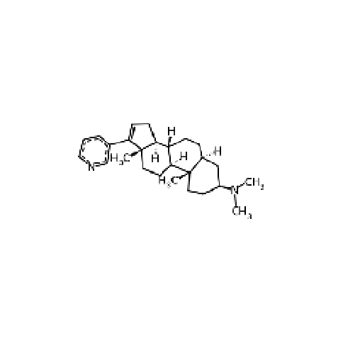 CN(C)[C@H]1CC[C@@]2(C)[C@@H](CC[C@@H]3[C@@H]2CC[C@]2(C)C(c4cccnc4)=CC[C@@H]32)C1